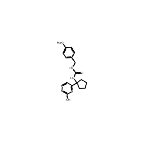 COc1ccc(CNC(=O)NC2(c3ccnc(C#N)n3)CCCC2)cc1